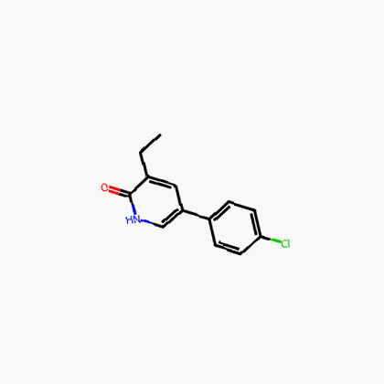 CCc1cc(-c2ccc(Cl)cc2)c[nH]c1=O